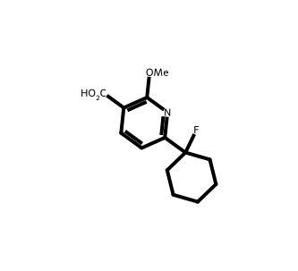 COc1nc(C2(F)CCCCC2)ccc1C(=O)O